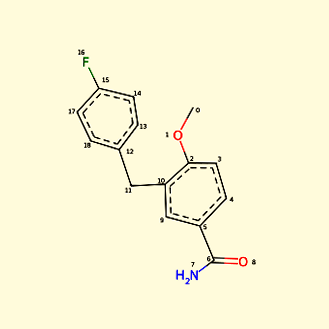 COc1ccc(C(N)=O)cc1Cc1ccc(F)cc1